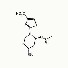 C[SiH](C)OC1CC(C(C)(C)C)CCN1c1nc(C(=O)O)cs1